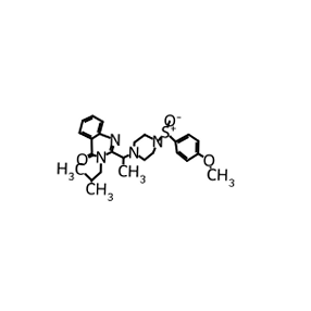 COc1ccc([S+]([O-])N2CCN(C(C)c3nc4ccccc4c(=O)n3CC(C)C)CC2)cc1